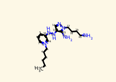 CCCCCC[n+]1cccc(NNc2cnn(CCCCN)c2N)c1